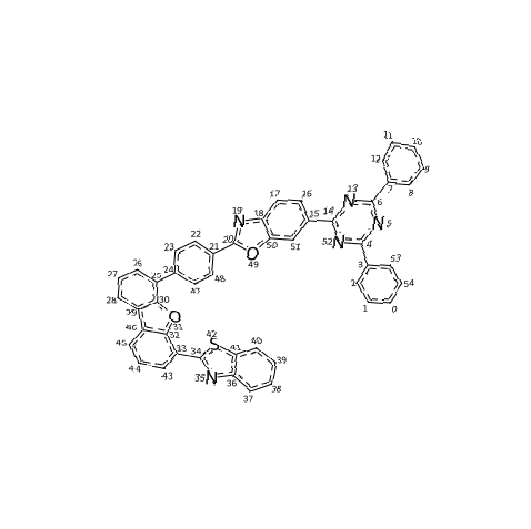 c1ccc(-c2nc(-c3ccccc3)nc(-c3ccc4nc(-c5ccc(-c6cccc7c6oc6c(-c8nc9ccccc9s8)cccc67)cc5)oc4c3)n2)cc1